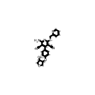 N#Cc1c(N)nc(SCc2ccccn2)c(C#N)c1-c1ccc(OC2COCC2O)cc1